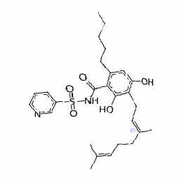 CCCCCc1cc(O)c(C/C=C(\C)CCC=C(C)C)c(O)c1C(=O)NS(=O)(=O)c1cccnc1